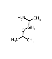 CC(C)O[SiH2]C(C)N